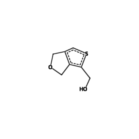 OCc1scc2c1COC2